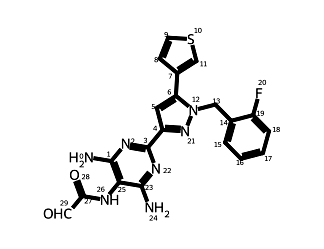 Nc1nc(-c2cc(-c3ccsc3)n(Cc3ccccc3F)n2)nc(N)c1NC(=O)C=O